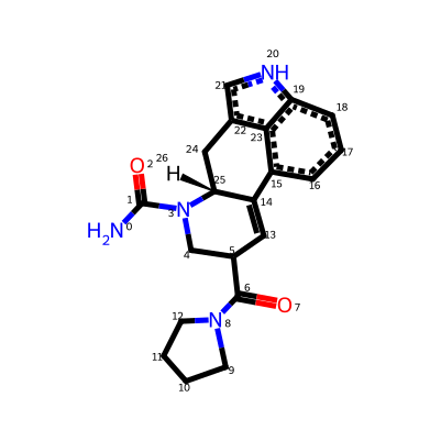 NC(=O)N1CC(C(=O)N2CCCC2)C=C2c3cccc4[nH]cc(c34)C[C@H]21